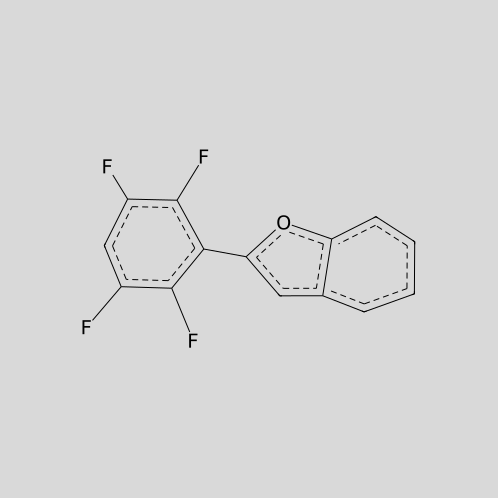 Fc1cc(F)c(F)c(-c2cc3ccccc3o2)c1F